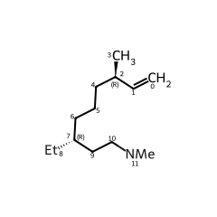 C=C[C@H](C)CCC[C@@H](CC)CCNC